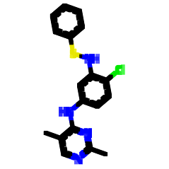 Cc1ncc(C)c(Nc2ccc(Cl)c(NSc3ccccc3)c2)n1